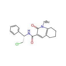 CCCCn1c2c(cc(C(=O)N[C@H](CCl)c3ccccc3)c1=O)CCCC2